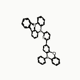 c1ccc(B2c3ccccc3Oc3cc(-c4cccc(N5c6ccccc6-n6c7ccccc7c7cccc5c76)n4)ccc32)cc1